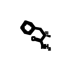 C[C@@H](Cc1ccccc1)C(N)=O